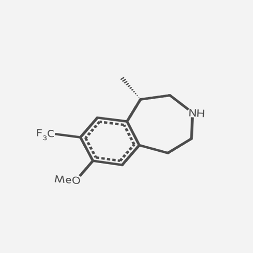 COc1cc2c(cc1C(F)(F)F)[C@H](C)CNCC2